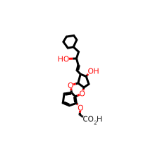 O=C(O)COc1cccc2c1OC1CC(O)C(C=CC(O)CC3CCCCC3)C1O2